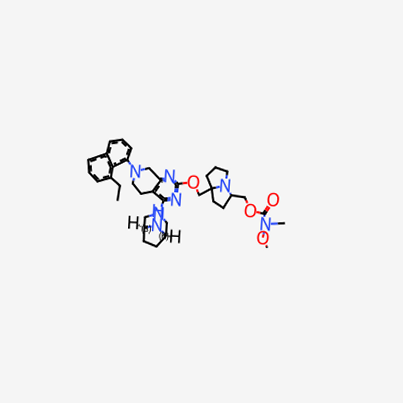 CCc1cccc2cccc(N3CCc4c(nc(OCC56CCCN5C(COC(=O)N(C)OC)CC6)nc4N4C[C@H]5CC[C@@H](C4)N5)C3)c12